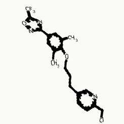 Cc1cc(-c2noc(C(F)(F)F)n2)cc(C)c1OCCCc1ccc(CCl)nc1